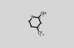 OC1CC(C(F)(F)F)CC[N]1